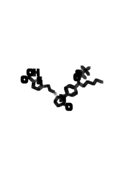 CCCCCC(O[Si](C)(C)C(C)(C)C)c1ccc(N2C(=O)CC[C@@H]2CCCc2ccc(C(=O)O)s2)cc1